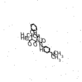 CN(C)c1ccc(NC(=O)N(CCc2ccccc2)C(=O)C(C(=O)O)C(C)(C)C)cc1